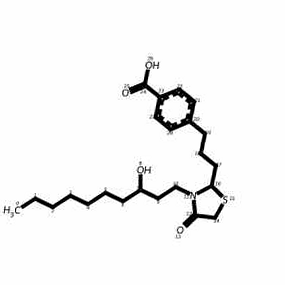 CCCCCCCC(O)CCN1C(=O)CSC1CCCc1ccc(C(=O)O)cc1